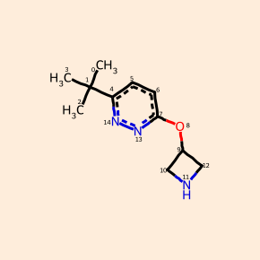 CC(C)(C)c1ccc(OC2CNC2)nn1